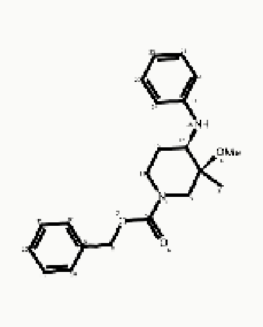 CO[C@@]1(C)CN(C(=O)OCc2ccccc2)CC[C@H]1Nc1ccccc1